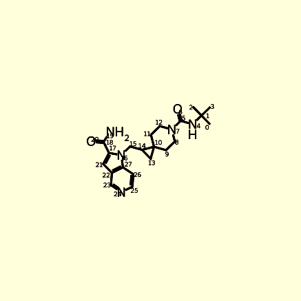 CC(C)(C)NC(=O)N1CCC2(CC1)CC2Cn1c(C(N)=O)cc2cnccc21